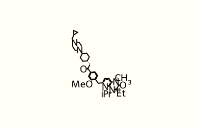 CC[C@@H]1C(=O)N(C)c2ccc(Cc3ccc(C(=O)C[C@H]4CC[C@H](N5CCN(CC6CC6)CC5)CC4)cc3OC)nc2N1C(C)C